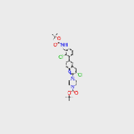 CC(C)(C)OC(=O)NCc1cccc(-c2ccc3nc(N4CCN(C(=O)OC(C)(C)C)CC4)c(Cl)cc3c2)c1Cl